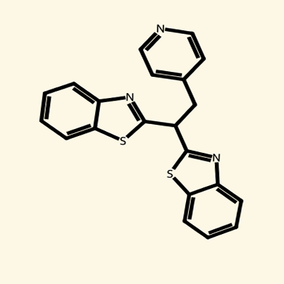 c1ccc2sc(C(Cc3ccncc3)c3nc4ccccc4s3)nc2c1